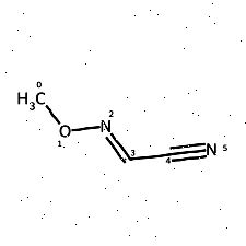 CO/N=[C]/C#N